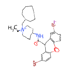 CC[N@+]1(CC2CCCCCCC2)CC[C@H](NC(=O)C2c3cc(Br)ccc3Oc3ccc(Br)cc32)CC1.[I-]